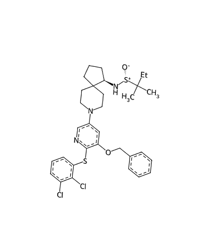 CCC(C)(C)[S@@+]([O-])N[C@@H]1CCCC12CCN(c1cnc(Sc3cccc(Cl)c3Cl)c(OCc3ccccc3)c1)CC2